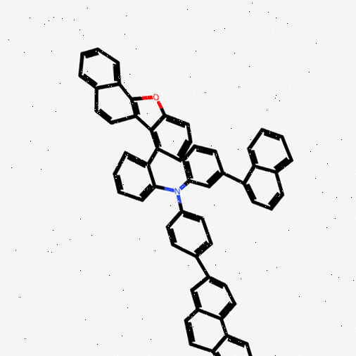 c1cc(-c2cccc3ccccc23)cc(N(c2ccc(-c3ccc4c(ccc5ccccc54)c3)cc2)c2ccccc2-c2cccc3oc4c5ccccc5ccc4c23)c1